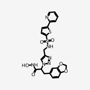 O=C(NO)C(Cc1ccc2c(c1)OCO2)n1cc(CNS(=O)(=O)c2ccc(-c3ccccn3)s2)nn1